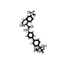 CS(=O)(=O)c1ccc2c(c1)CCNC2C(=O)Nc1ccc(-c2ccc(C(O)(C(F)(F)F)C(F)(F)F)cc2)cc1